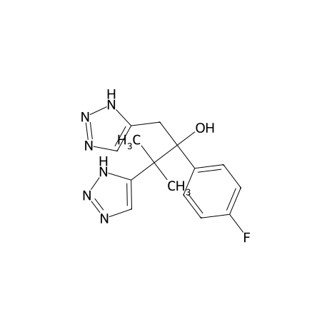 CC(C)(c1cnn[nH]1)C(O)(Cc1cnn[nH]1)c1ccc(F)cc1